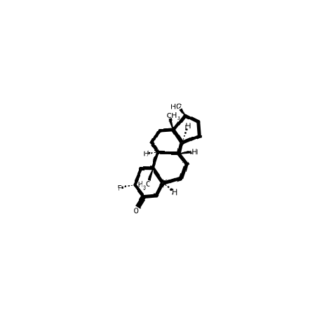 C[C@]12C[C@@H](F)C(=O)C[C@@H]1CC[C@@H]1[C@@H]2CC[C@]2(C)[C@@H](O)CC[C@@H]12